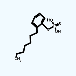 CCCCCCCc1ccccc1SP(O)(O)=S